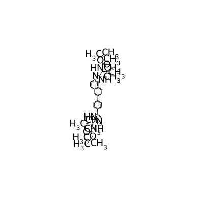 CC(C)(C)OC(=O)NC(c1ncc(-c2ccc(-c3ccc4c(ccc5nc(C(NC(=O)OC(C)(C)C)C(C)(C)C)[nH]c54)c3)cc2)[nH]1)C(C)(C)C